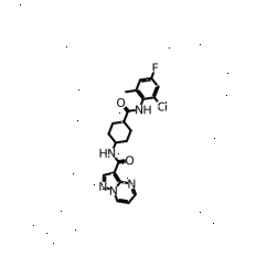 Cc1cc(F)cc(Cl)c1NC(=O)C1CCC(NC(=O)c2cnn3cccnc23)CC1